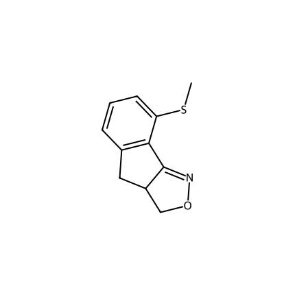 CSc1cccc2c1C1=NOCC1C2